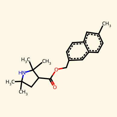 Cc1ccc2cc(COC(=O)C3CC(C)(C)NC3(C)C)ccc2c1